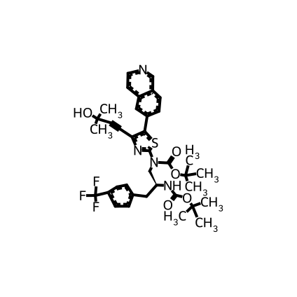 CC(C)(O)C#Cc1nc(N(C[C@H](Cc2ccc(C(F)(F)F)cc2)NC(=O)OC(C)(C)C)C(=O)OC(C)(C)C)sc1-c1ccc2cnccc2c1